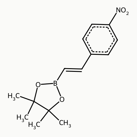 CC1(C)OB(C=Cc2ccc([N+](=O)[O-])cc2)OC1(C)C